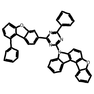 c1ccc(-c2nc(-c3ccc4c(c3)oc3cccc(-c5ccccc5)c34)nc(-n3c4ccccc4c4c5c(ccc43)oc3ccccc35)n2)cc1